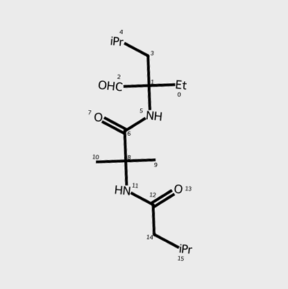 CCC(C=O)(CC(C)C)NC(=O)C(C)(C)NC(=O)CC(C)C